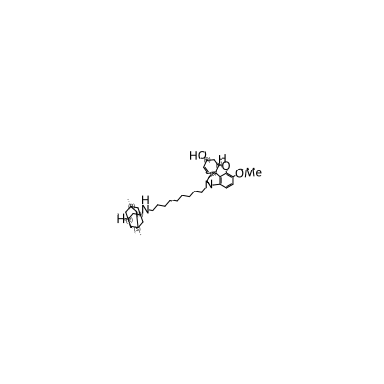 COc1ccc2c3c1O[C@H]1C[C@@H](O)C=C[C@@]31CCN(CCCCCCCCCN[C@]13C[C@@H]4C[C@@](C)(C[C@@](C)(C4)C1)C3)C2